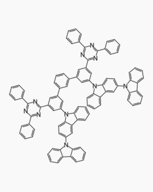 c1ccc(-c2nc(-c3ccccc3)nc(-c3cc(-c4cccc(-c5cc(-c6nc(-c7ccccc7)nc(-c7ccccc7)n6)cc(-n6c7ccccc7c7cc(-n8c9ccccc9c9ccccc98)ccc76)c5)c4)cc(-n4c5ccccc5c5cc(-n6c7ccccc7c7ccccc76)ccc54)c3)n2)cc1